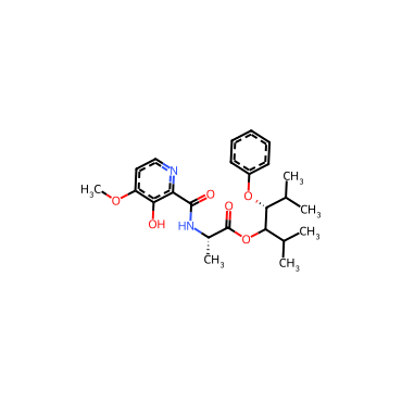 COc1ccnc(C(=O)N[C@@H](C)C(=O)OC(C(C)C)[C@H](Oc2ccccc2)C(C)C)c1O